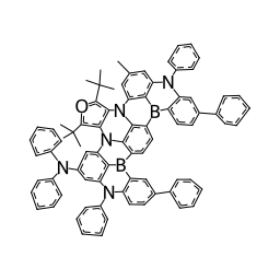 Cc1cc2c3c(c1)N1c4c(ccc5c4N(c4cc(N(c6ccccc6)c6ccccc6)cc6c4B5c4cc(-c5ccccc5)ccc4N6c4ccccc4)c4c(C(C)(C)C)oc(C(C)(C)C)c41)B3c1ccc(-c3ccccc3)cc1N2c1ccccc1